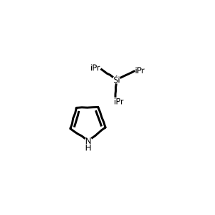 CC(C)[Si](C(C)C)C(C)C.c1cc[nH]c1